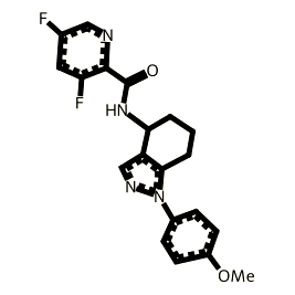 COc1ccc(-n2ncc3c2CCCC3NC(=O)c2ncc(F)cc2F)cc1